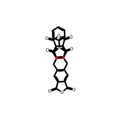 O=C1OC(=O)c2cc3c(cc21)C1c2cc4c(cc2C3C2C(=O)N(c3ccccc3)C(=O)C12)C(=O)OC4=O